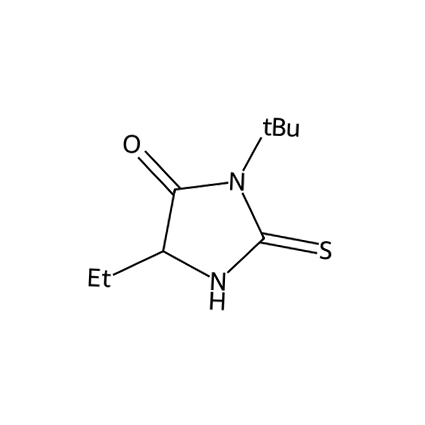 CCC1NC(=S)N(C(C)(C)C)C1=O